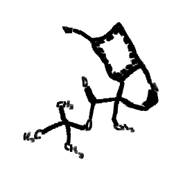 CC(C)(C)OC(=O)C1(C)C=Nc2ccc(Br)cc21